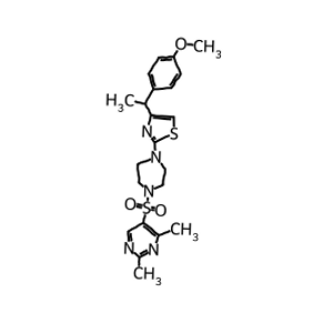 COc1ccc(C(C)c2csc(N3CCN(S(=O)(=O)c4cnc(C)nc4C)CC3)n2)cc1